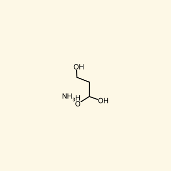 N.OCCC(O)O